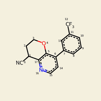 N#CC1CCOc2c(-c3cccc(C(F)(F)F)c3)ccnc21